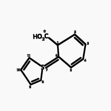 O=C(O)C1C=CC=CC1=S1C=CC=C1